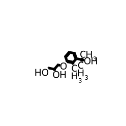 Cc1c(OCC(O)CO)cccc1C(C)(C)O